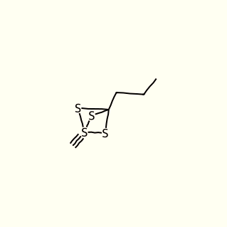 C#S12SC(CCC)(S1)S2